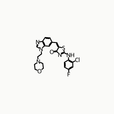 O=C1N=C(Nc2ccc(F)cc2Cl)SC1=Cc1ccc2ncn(CCN3CCOCC3)c2c1